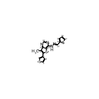 Cc1c(-c2ccsc2)sc2c(NN=Cc3cccs3)ncnc12